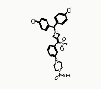 CS(=O)(=O)C(=C1CN(C(c2ccc(Cl)cc2)c2ccc(Cl)cc2)C1)c1cccc(N2CCN(C(=O)S)CC2)c1